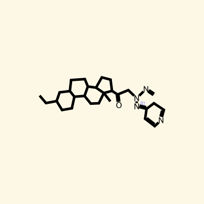 C=NN(CC(=O)C1CCC2C3CCC4CC(CC)CCC4C3CCC12C)/N=C1/C=CN=CC1